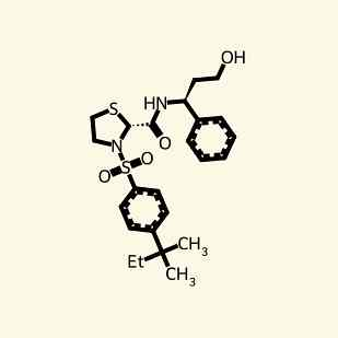 CCC(C)(C)c1ccc(S(=O)(=O)N2CCS[C@@H]2C(=O)N[C@@H](CCO)c2ccccc2)cc1